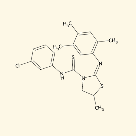 Cc1cc(C)c(/N=C2/SC(C)CN2C(=S)Nc2cccc(Cl)c2)cc1C